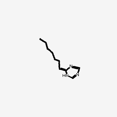 CCCCCCC=C1N=CN=CN1